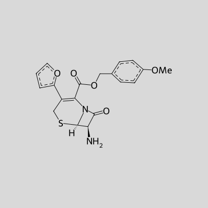 COc1ccc(COC(=O)C2=C(c3ccco3)CS[C@@H]3[C@H](N)C(=O)N23)cc1